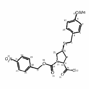 COc1ccc(CS[C@H]2C[C@@H](C(=O)Cl)N(C(=O)OCc3ccc([N+](=O)[O-])cc3)C2)cc1